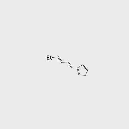 C1=CCC=C1.C=CC=CCC